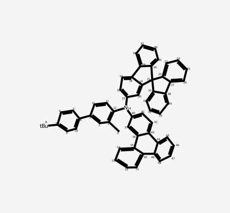 Cc1cc(-c2ccc(C(C)(C)C)cc2)ccc1N(c1ccc2c(c1)C1(c3ccccc3-c3ccccc31)c1ccccc1-2)c1ccc2c3ccccc3c3ccccc3c2c1